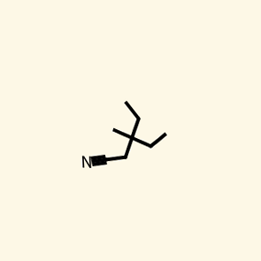 CCC(C)(CC)CC#N